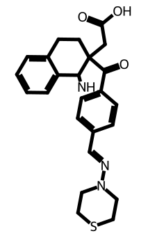 NC1c2ccccc2CCC1(CC(=O)O)C(=O)c1ccc(C=NN2CCSCC2)cc1